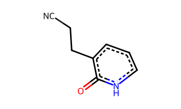 N#CCCc1ccc[nH]c1=O